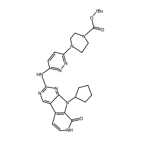 CC(C)(C)OC(=O)N1CCN(c2ccc(Nc3ncc4c5cc[nH]c(=O)c5n(C5CCCC5)c4n3)nn2)CC1